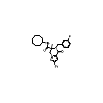 CC(C)c1cc2n(n1)CC(C)(C(=O)NC1CCCCCCC1)N(Cc1cccc(F)c1)C2=O